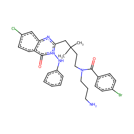 CC(C)(CCN(CCCN)C(=O)c1ccc(Br)cc1)Cc1nc2cc(Cl)ccc2c(=O)n1Nc1ccccc1